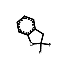 FC1(F)Cc2c[c]ccc2O1